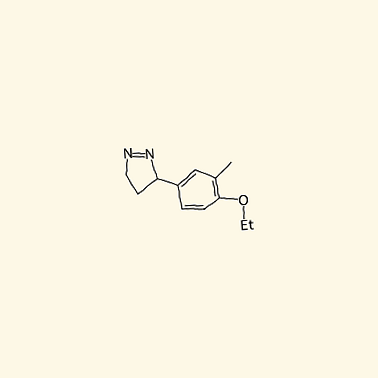 CCOc1ccc(C2CCN=N2)cc1C